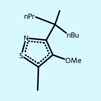 CCCCC(C)(CCC)c1nsc(C)c1OC